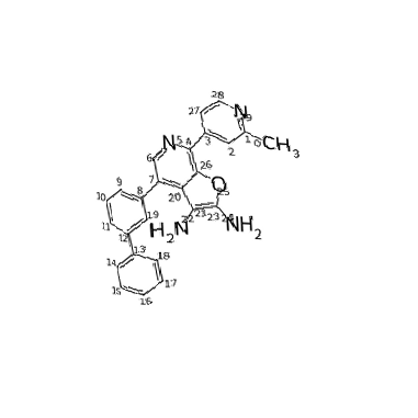 Cc1cc(-c2ncc(-c3cccc(-c4ccccc4)c3)c3c(N)c(N)oc23)ccn1